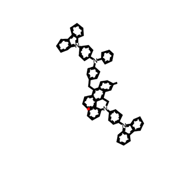 Cc1ccc2c(Cc3ccc(N(c4ccccc4)c4ccc(-n5c6ccccc6c6ccccc65)cc4)cc3)c3ccccc3c(CN(c3ccccc3)c3ccc(-n4c5ccccc5c5ccccc54)cc3)c2c1